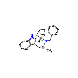 C[C@H](Cc1c[nH]c2ccccc12)N(Cc1ccccc1)[C@@H]1CC2CC1C2